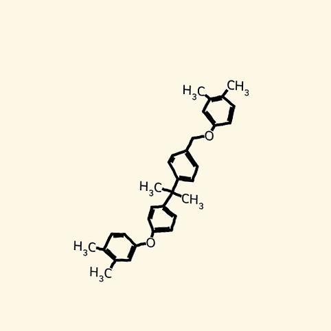 Cc1ccc(OCc2ccc(C(C)(C)c3ccc(Oc4ccc(C)c(C)c4)cc3)cc2)cc1C